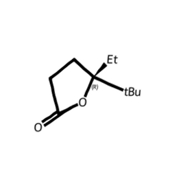 CC[C@]1(C(C)(C)C)CCC(=O)O1